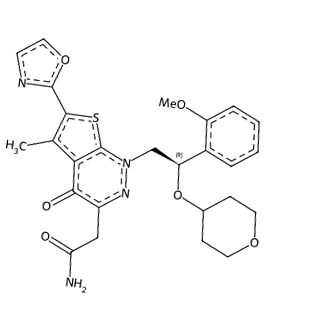 COc1ccccc1[C@H](Cn1nc(CC(N)=O)c(=O)c2c(C)c(-c3ncco3)sc21)OC1CCOCC1